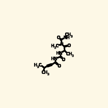 CNC(=O)N(C)C(=O)C(C)NC(=O)NC(=O)C#CC(C)C